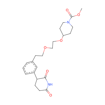 COC(=O)N1CCC(OCCOCCc2cccc(C3CCC(=O)NC3=O)c2)CC1